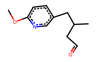 COc1ccc(CC(C)CC=O)cn1